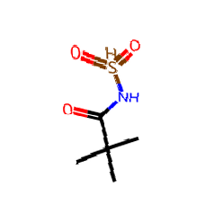 CC(C)(C)C(=O)N[SH](=O)=O